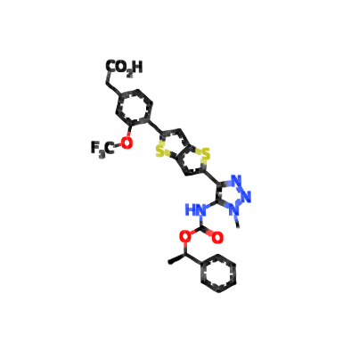 C[C@@H](OC(=O)Nc1c(-c2cc3sc(-c4ccc(CC(=O)O)cc4OC(F)(F)F)cc3s2)nnn1C)c1ccccc1